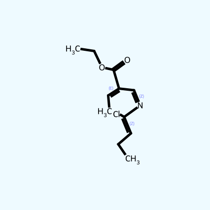 C\C=C(/C=N\C(Cl)=C\CC)C(=O)OCC